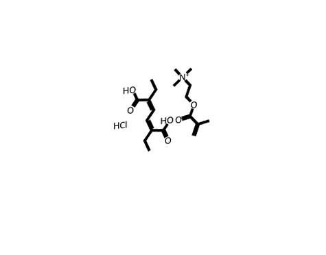 C=C(C)C(=O)OCC[N+](C)(C)C.CCC(=CC=C(CC)C(=O)O)C(=O)O.Cl